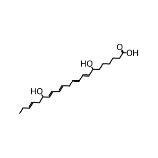 CCC=CCC(O)C=CC=CCC=CC=CC(O)CCCCCC(=O)O